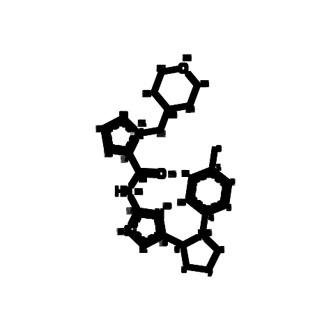 Cc1ccc(N2CCCC2c2csc(NC(=O)c3cccn3CC3CCOCC3)n2)cc1